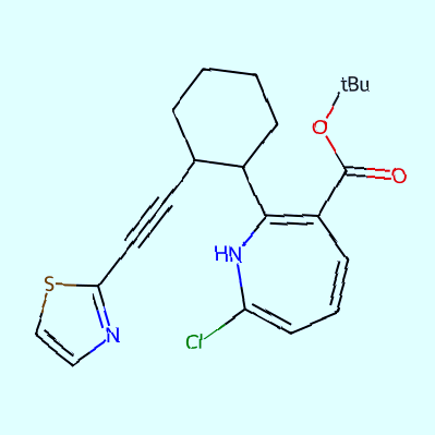 CC(C)(C)OC(=O)C1=C(C2CCCCC2C#Cc2nccs2)NC(Cl)=CC=C1